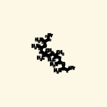 CC(C)CC(N)OC(N)CC(C)(C)N=NC(C)(C)CC(N)OC(N)CC(C)C